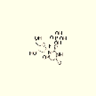 O=P(O)(O)O.O=c1ccn([C@]2(F)O[C@H](CO)[C@@H](O)[C@H]2O)c(=O)[nH]1